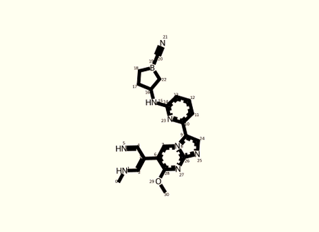 CN/C=C(\C=N)c1cn2c(-c3cccc(NC4CCB(C#N)C4)n3)cnc2nc1OC